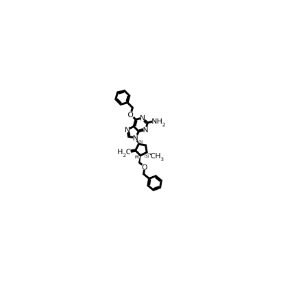 C=C1[C@H](COCc2ccccc2)[C@@H](C)C[C@@H]1n1cnc2c(OCc3ccccc3)nc(N)nc21